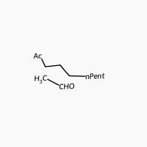 CC=O.CCCCCCCCC(C)=O